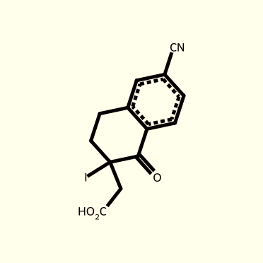 N#Cc1ccc2c(c1)CCC(I)(CC(=O)O)C2=O